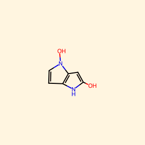 Oc1cc2c(ccn2O)[nH]1